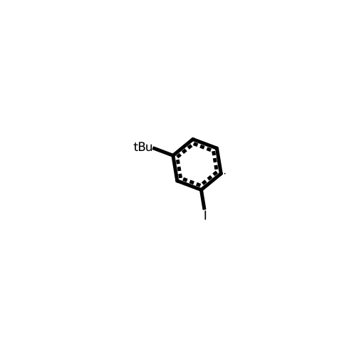 CC(C)(C)c1cc[c]c(I)c1